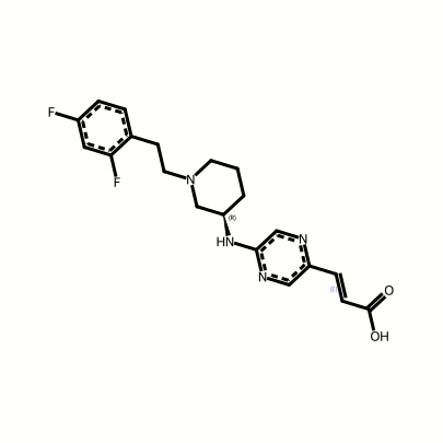 O=C(O)/C=C/c1cnc(N[C@@H]2CCCN(CCc3ccc(F)cc3F)C2)cn1